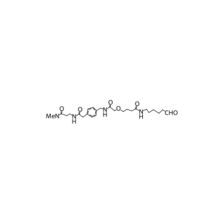 CNC(=O)CCNC(=O)Cc1ccc(CNC(=O)COCCCC(=O)NCCCCCC=O)cc1